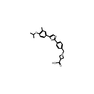 Cc1cc(-c2cnc(-c3ccc(CN4CC(C(=O)O)C4)cc3)s2)ccc1OC(C)C